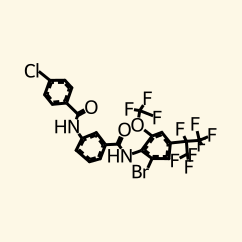 O=C(Nc1cccc(C(=O)Nc2c(Br)cc(C(F)(C(F)(F)F)C(F)(F)F)cc2OC(F)(F)F)c1)c1ccc(Cl)cc1